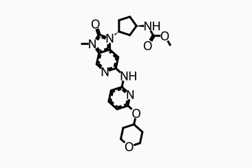 COC(=O)N[C@@H]1CC[C@@H](n2c(=O)n(C)c3cnc(Nc4cccc(OC5CCOCC5)n4)cc32)C1